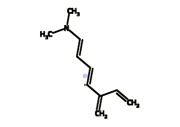 C=CC(=C)/[C]=C/C=CN(C)C